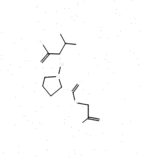 CC(C)[C@H](NN1CCC[C@H]1C(=O)NCC(=O)S)C(N)=O